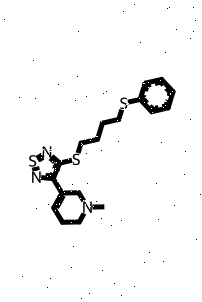 CN1CCC=C(c2nsnc2SCCCCSc2ccccc2)C1